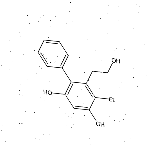 CCc1c(O)cc(O)c(-c2ccccc2)c1CCO